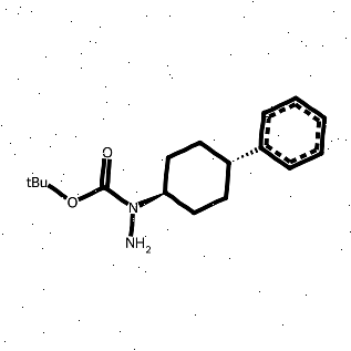 CC(C)(C)OC(=O)N(N)[C@H]1CC[C@H](c2ccccc2)CC1